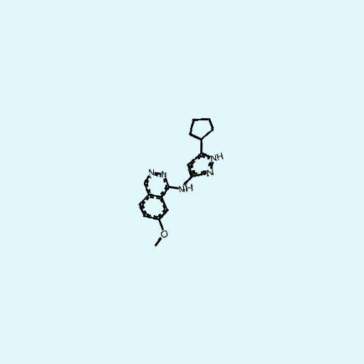 COc1ccc2cnnc(Nc3cc(C4CCCC4)[nH]n3)c2c1